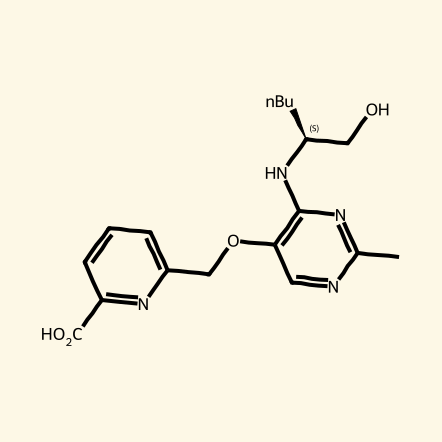 CCCC[C@@H](CO)Nc1nc(C)ncc1OCc1cccc(C(=O)O)n1